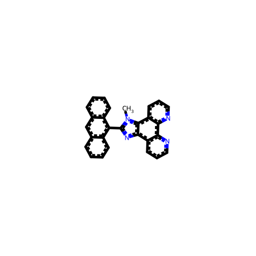 Cn1c(-c2c3ccccc3cc3ccccc23)nc2c3cccnc3c3ncccc3c21